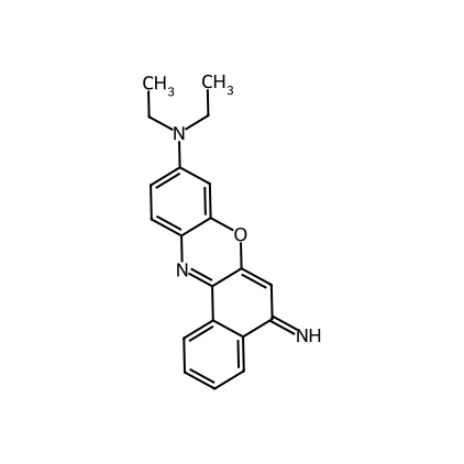 CCN(CC)c1ccc2nc3c4ccccc4c(=N)cc-3oc2c1